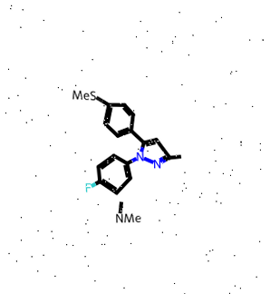 CNC.CSc1ccc(-c2cc(C)nn2-c2ccc(F)cc2)cc1